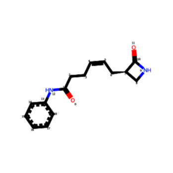 O=C(CC/C=C\C[C@@H]1CNC1=O)Nc1ccccc1